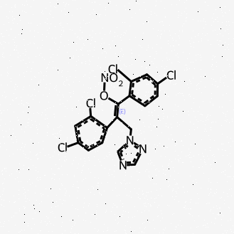 O=[N+]([O-])O/C(=C(/Cn1cncn1)c1ccc(Cl)cc1Cl)c1ccc(Cl)cc1Cl